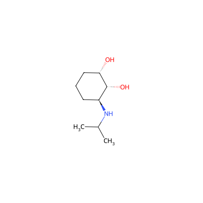 CC(C)N[C@H]1CCC[C@H](O)[C@@H]1O